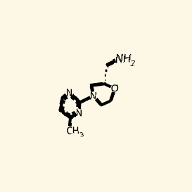 Cc1ccnc(N2CCO[C@@H](CN)C2)n1